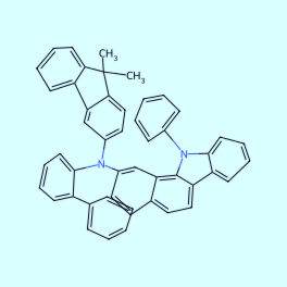 CC1(C)c2ccccc2-c2cc(N(c3ccc4ccc5c6ccccc6n(-c6ccccc6)c5c4c3)c3ccccc3-c3ccccc3)ccc21